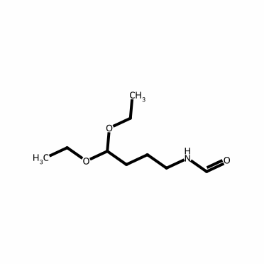 CCOC(CCCNC=O)OCC